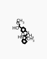 COCC(O)c1ccc2c(c1)OC1(C=N2)Nc2ccccc2C1(C)C